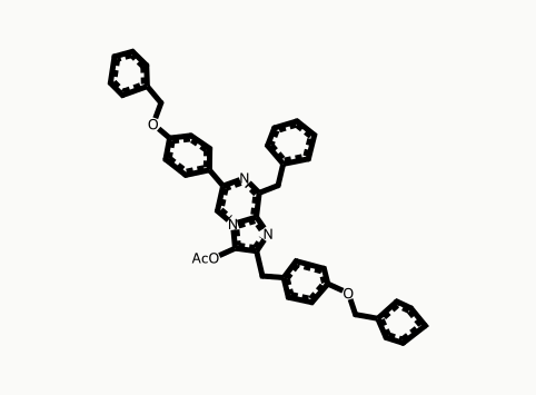 CC(=O)Oc1c(Cc2ccc(OCc3ccccc3)cc2)nc2c(Cc3ccccc3)nc(-c3ccc(OCc4ccccc4)cc3)cn12